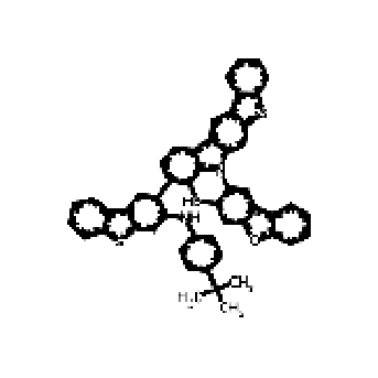 CC(C)(C)c1ccc(Nc2cc3sc4ccccc4c3cc2-c2ccc3c4cc5c(cc4n4c3c2Bc2cc3oc6ccccc6c3cc2-4)sc2ccccc25)cc1